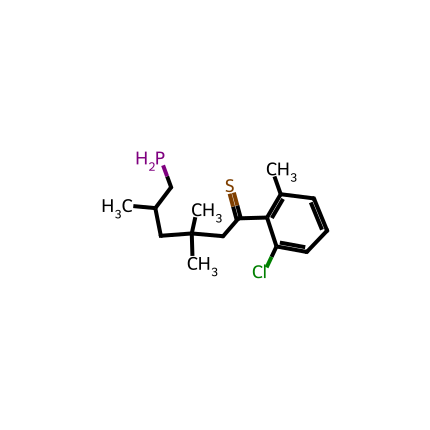 Cc1cccc(Cl)c1C(=S)CC(C)(C)CC(C)CP